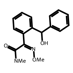 CNC(=O)C(=NOC)c1ccccc1C(O)c1ccccc1